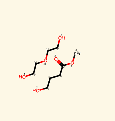 CCCOC(=O)CCCO.OCCOCCO